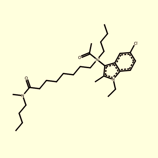 CCCCN(C)C(=O)CCCCCCC[N+](CCCC)(C(C)=O)c1c(C)n(CC)c2ccc(Cl)cc12